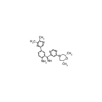 Cc1ncc(-c2ccc(N)c(C(=N)c3cc(N4C[C@@H](C)O[C@@H](C)C4)ncn3)c2)nc1C